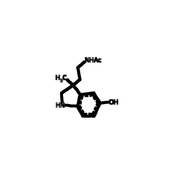 CC(=O)NCCC1(C)CNc2ccc(O)cc21